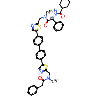 CCCN(Cc1ncc(-c2ccc(-c3ccc(-c4cnc(CN(CCC)C(=O)[C@@H](NC(=O)C5CCCCC5)c5ccccc5)s4)cc3)cc2)s1)C(=O)Cc1ccccc1